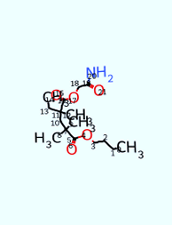 CCCCOC(=O)C(C)(C)CC(C)(CC)C(=O)OCC(N)=O